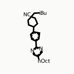 CCCCCCCCc1cnc(-c2ccc(C3CCC(C#N)(CC(C)CC)CC3)cc2)nc1